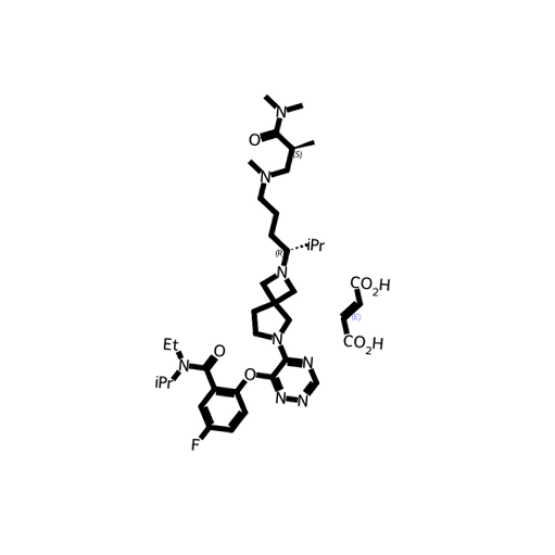 CCN(C(=O)c1cc(F)ccc1Oc1nncnc1N1CCC2(C1)CN([C@H](CCCN(C)C[C@H](C)C(=O)N(C)C)C(C)C)C2)C(C)C.O=C(O)/C=C/C(=O)O